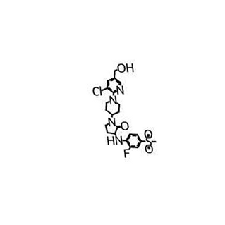 CS(=O)(=O)c1ccc(NC2CCN(C3CCN(c4ncc(CO)cc4Cl)CC3)C2=O)c(F)c1